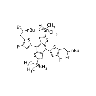 CCCCC(CC)Cc1sc(-c2c3c[c]([Sn]([CH3])([CH3])[CH3])sc3c(-c3cc(F)c(CC(CC)CCCC)s3)c3c[c]([Sn]([CH3])([CH3])[CH3])sc23)cc1F